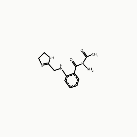 CC(=O)N(N)C(=O)c1ccccc1NCC1=NCCN1